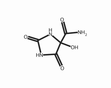 NC(=O)C1(O)NC(=O)NC1=O